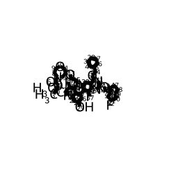 CC(C)(C)OC(=O)N1CCOC[C@@H](OCCOc2c(F)cnc3cc(O)cc(-c4ncc5c(OCc6ccccc6)nc(OC[C@@]67CCCN6C[C@H](F)C7)nc5c4F)c23)C1